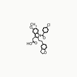 COc1ccc2c(c1)c(CC(=O)O)c(CCc1ccc3c(c1)CCO3)n2C(=O)c1ccc(Cl)cc1